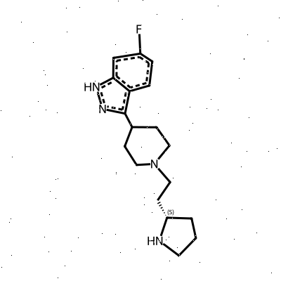 Fc1ccc2c(C3CCN(CC[C@@H]4CCCN4)CC3)n[nH]c2c1